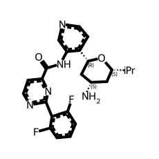 CC(C)[C@@H]1C[C@H](N)C[C@H](c2ccncc2NC(=O)c2ccnc(-c3c(F)cccc3F)n2)O1